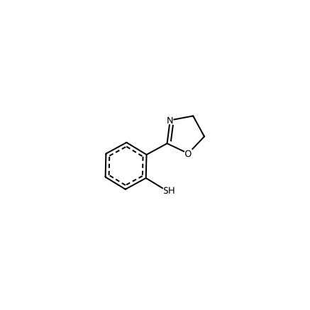 Sc1ccccc1C1=NCCO1